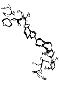 CC[C@@H](c1nc2ccc3cc(-c4ccc5c(ccc6nc([C@@H]7[C@@H]8CC[C@@H](C8)N7C(=O)[C@@H](NC(=O)OC)C(C)C)[nH]c65)c4)ccc3c2[nH]1)N(CC)C(=O)[C@@H](NC(=O)OC)C1CCOCC1